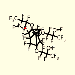 FOC(F)(C(F)(F)F)C(F)(F)OC12C(F)(F)C3(F)C(F)(F)C(OC(F)(F)C(F)(OF)C(F)(F)F)(C1(F)F)C(F)(F)C(OC(F)(F)C(F)(N(F)F)C(F)(F)F)(C3(F)F)C2(F)F